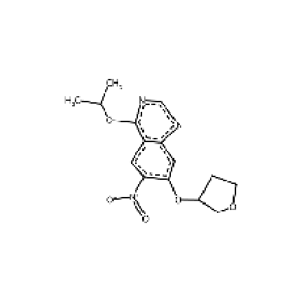 CC(C)Oc1ncnc2cc(OC3CCOC3)c([N+](=O)[O-])cc12